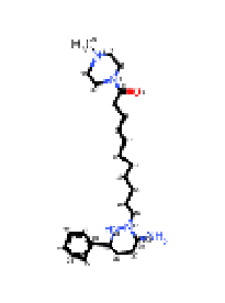 CN1CCN(C(=O)CCCCCCCCCCN2NC(c3ccccc3)CCC2N)CC1